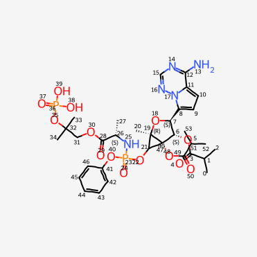 CC(C)C(=O)O[C@H]1[C@H](c2ccc3c(N)ncnn23)O[C@]2(C)C(OP(=O)(N[C@@H](C)C(=O)OCC(C)(C)OP(=O)(O)O)Oc3ccccc3)[C@]12OC(=O)C(C)C